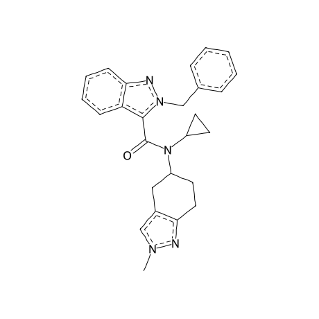 Cn1cc2c(n1)CCC(N(C(=O)c1c3ccccc3nn1Cc1ccccc1)C1CC1)C2